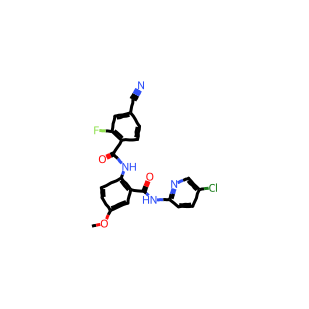 COc1ccc(NC(=O)c2ccc(C#N)cc2F)c(C(=O)Nc2ccc(Cl)cn2)c1